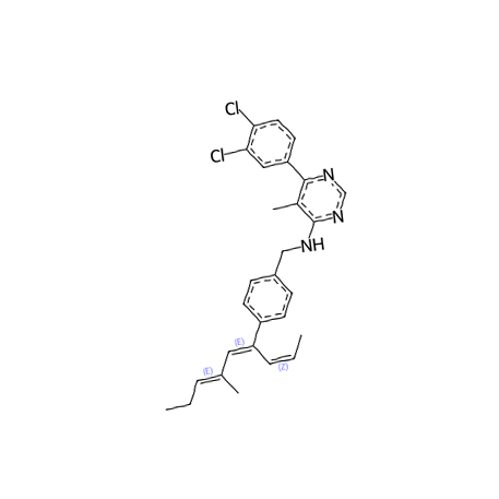 C\C=C/C(=C\C(C)=C\CC)c1ccc(CNc2ncnc(-c3ccc(Cl)c(Cl)c3)c2C)cc1